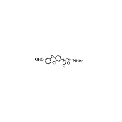 CC(=O)NC[C@H]1CN(c2ccc3c(c2)Oc2ccc(C=O)cc2O3)C(=O)O1